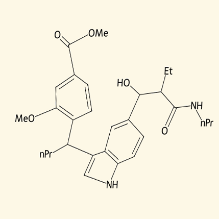 CCCNC(=O)C(CC)C(O)c1ccc2[nH]cc(C(CCC)c3ccc(C(=O)OC)cc3OC)c2c1